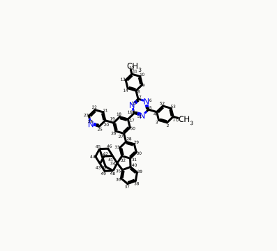 Cc1ccc(-c2nc(-c3ccc(C)cc3)nc(-c3cc(-c4cccnc4)cc(-c4ccc5c(c4)C4(c6ccccc6-5)C5CC6CC(C5)CC4C6)c3)n2)cc1